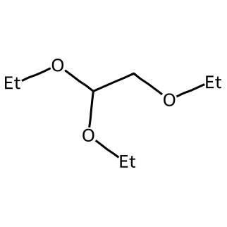 [CH2]COC(COCC)OCC